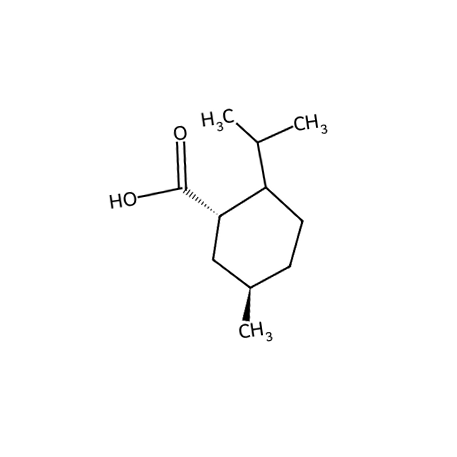 CC(C)C1CC[C@@H](C)C[C@@H]1C(=O)O